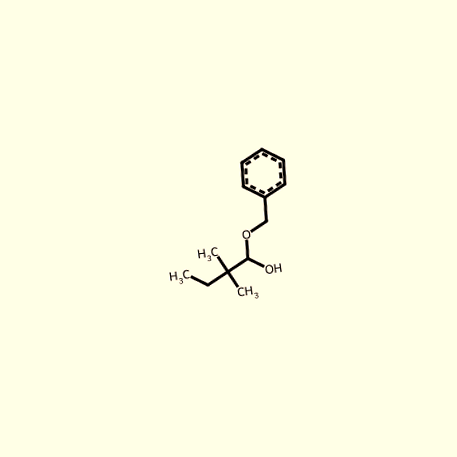 CCC(C)(C)C(O)OCc1ccccc1